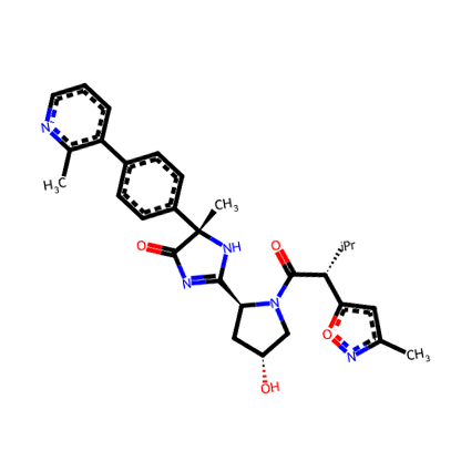 Cc1cc([C@H](C(=O)N2C[C@H](O)C[C@H]2C2=NC(=O)[C@](C)(c3ccc(-c4cccnc4C)cc3)N2)C(C)C)on1